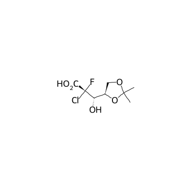 CC1(C)OC[C@H]([C@H](O)[C@@](F)(Cl)C(=O)O)O1